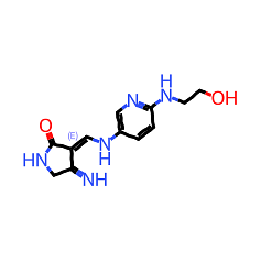 N=C1CNC(=O)/C1=C/Nc1ccc(NCCO)nc1